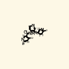 Cc1ccc(Nc2cnccc2NC(=O)c2cnc(F)cc2C)cn1